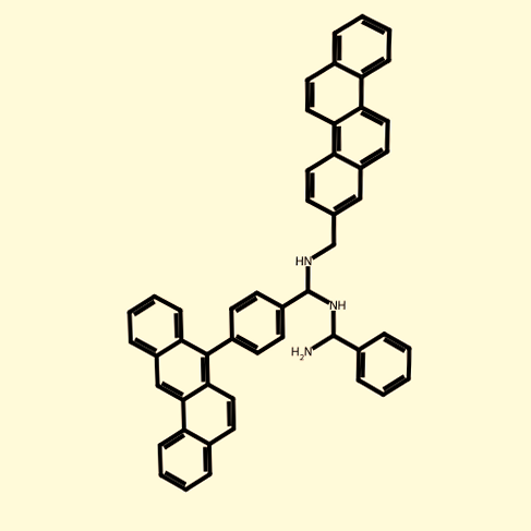 NC(NC(NCc1ccc2c(ccc3c4ccccc4ccc23)c1)c1ccc(-c2c3ccccc3cc3c2ccc2ccccc23)cc1)c1ccccc1